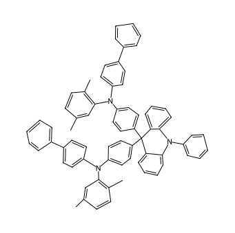 Cc1ccc(C)c(N(c2ccc(-c3ccccc3)cc2)c2ccc(C3(c4ccc(N(c5ccc(-c6ccccc6)cc5)c5cc(C)ccc5C)cc4)c4ccccc4N(c4ccccc4)c4ccccc43)cc2)c1